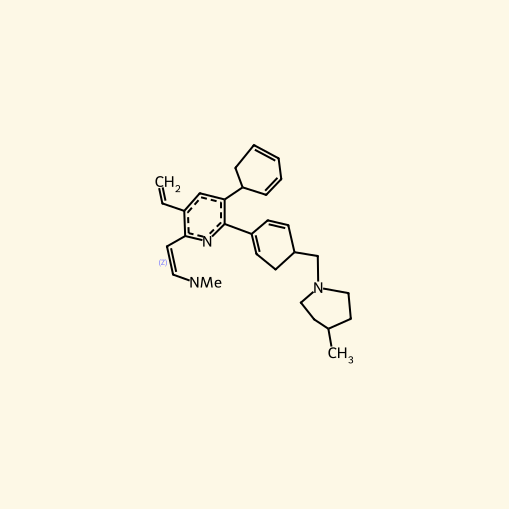 C=Cc1cc(C2C=CC=CC2)c(C2=CCC(CN3CCC(C)CC3)C=C2)nc1/C=C\NC